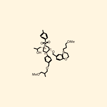 COCCCN1CCOc2ccc(CO[C@H]3CN(S(=O)(=O)c4ccc(C)cc4)[C@@H](CC(C)O)C[C@@H]3c3ccc(COCC(C)COC)cc3)cc21